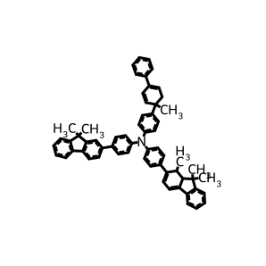 CC1C(c2ccc(N(c3ccc(-c4ccc5c(c4)C(C)(C)c4ccccc4-5)cc3)c3ccc(C4(C)C=CC(c5ccccc5)=CC4)cc3)cc2)=CC=C2c3ccccc3C(C)(C)C21